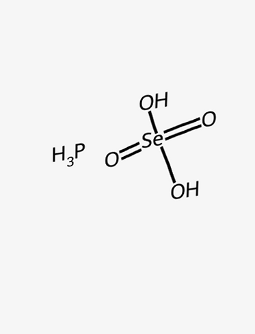 O=[Se](=O)(O)O.P